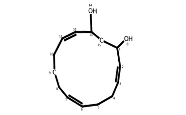 OC1C=CCCC=CCCCC=CC(O)C1